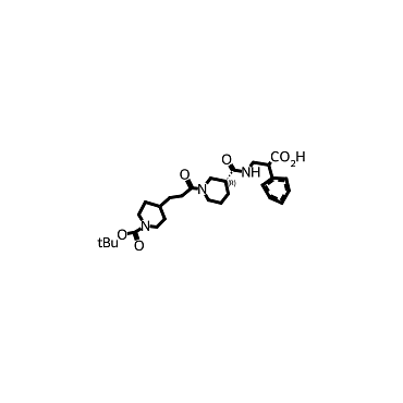 CC(C)(C)OC(=O)N1CCC(CCC(=O)N2CCC[C@@H](C(=O)NCC(C(=O)O)c3ccccc3)C2)CC1